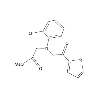 COC(=O)CN(CC(=O)c1cccs1)c1ccccc1Cl